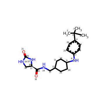 CC(C)(C)c1ccc(NC2CCC(CNC(=O)[C@H]3CNC(=O)N3)CC2)cc1